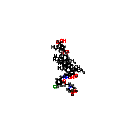 CC(C)C1=C2[C@H]3CC[C@@]4(C)[C@@](C)(CC[C@H]5C(C)(C)C(OC(=O)[C@H]6C[C@@H](C(=O)O)C6(C)C)CC[C@@]54C)[C@]3(C)CC[C@@]2([C@@H](O)CNCc2ccc(Cl)cc2OCCN2CCS(=O)(=O)CC2)CC1=O